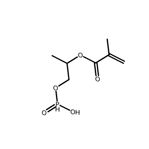 C=C(C)C(=O)OC(C)CO[PH](=O)O